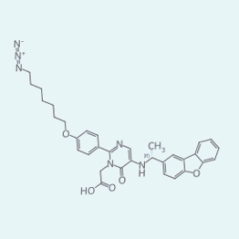 C[C@@H](Nc1cnc(-c2ccc(OCCCCCCCN=[N+]=[N-])cc2)n(CC(=O)O)c1=O)c1ccc2oc3ccccc3c2c1